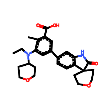 CCN(c1cc(-c2ccc3c(c2)NC(=O)C32CCOCC2)cc(C(=O)O)c1C)C1CCOCC1